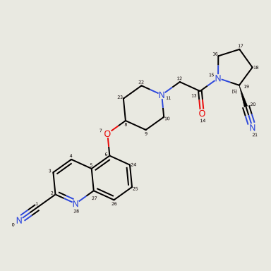 N#Cc1ccc2c(OC3CCN(CC(=O)N4CCC[C@H]4C#N)CC3)cccc2n1